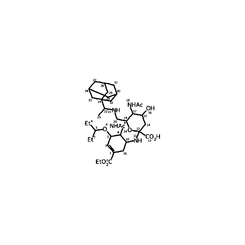 CCOC(=O)C1=CC(OC(CC)CC)C(NC(C)=O)C(NC2(C(=O)O)CC(O)C(NC(C)=O)C(CNC(C)C34CC5CC(CC(C5)C3)C4)O2)C1